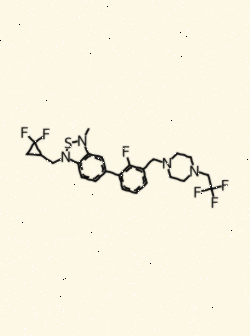 CN1SN(CC2CC2(F)F)c2ccc(-c3cccc(CN4CCN(CC(F)(F)F)CC4)c3F)cc21